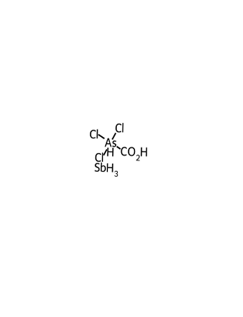 O=C(O)[AsH](Cl)(Cl)Cl.[SbH3]